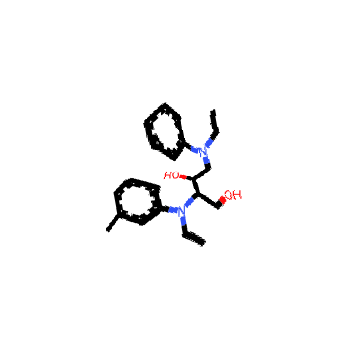 CCN(CC(O)C(CO)N(CC)c1cccc(C)c1)c1ccccc1